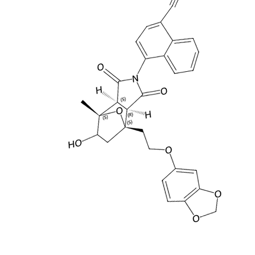 C[C@@]12O[C@@](CCOc3ccc4c(c3)OCO4)(CC1O)[C@@H]1C(=O)N(c3ccc(C#N)c4ccccc34)C(=O)[C@@H]12